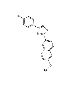 COc1ccc2cc(-c3nc(-c4ccc(Br)cc4)no3)cnc2c1